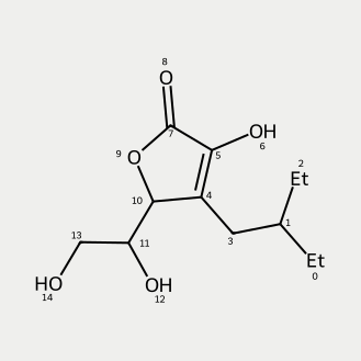 CCC(CC)CC1=C(O)C(=O)OC1C(O)CO